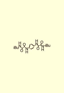 CCC(C)NC(=O)C(=O)Nc1ccc(NC(=O)C(=O)NC(C)CC)cc1